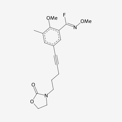 CO/N=C(\F)c1cc(C#CCCCN2CCOC2=O)cc(C)c1OC